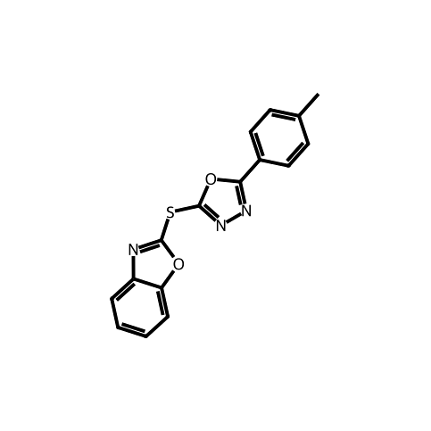 Cc1ccc(-c2nnc(Sc3nc4ccccc4o3)o2)cc1